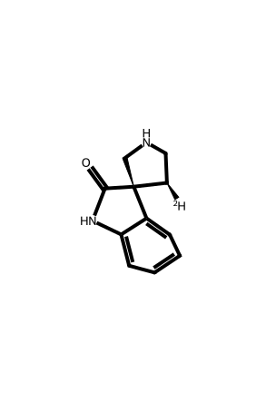 [2H][C@@H]1CNC[C@@]12C(=O)Nc1ccccc12